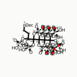 CCCCCCCCCCCCC(C)(OP(=O)(O)O)C(OP(=O)(O)O)(OP(=O)(O)O)C(OP(=O)(O)O)(OP(=O)(O)O)C(OP(=O)(O)O)(OP(=O)(O)O)C(OP(=O)(O)O)(OP(=O)(O)O)OP(=O)(O)O